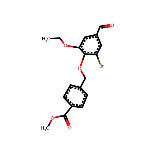 CCOc1cc(C=O)cc(Br)c1OCc1ccc(C(=O)OC)cc1